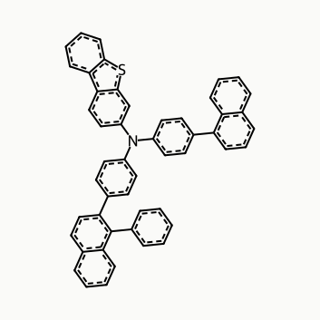 c1ccc(-c2c(-c3ccc(N(c4ccc(-c5cccc6ccccc56)cc4)c4ccc5c(c4)sc4ccccc45)cc3)ccc3ccccc23)cc1